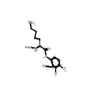 NCCCC[C@H](NC=O)C(=O)Oc1ccc(Cl)c(Cl)c1Cl